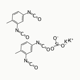 Cc1ccc(N=C=O)cc1N=C=O.Cc1ccc(N=C=O)cc1N=C=O.O=[Si]([O-])[O-].[K+].[K+]